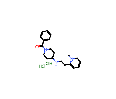 CN1CC=CC=C1CCNC1CCN(C(=O)c2ccccc2)CC1.Cl.Cl